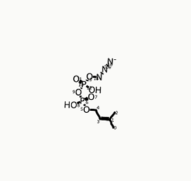 CC(C)=CCOP(=O)(O)OP(=O)(O)ON=[N+]=[N-]